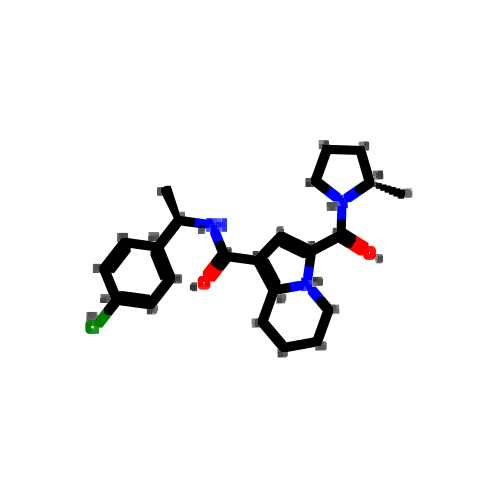 C[C@@H](NC(=O)c1cc(C(=O)N2CCC[C@@H]2C)n2c1CCCC2)c1ccc(Cl)cc1